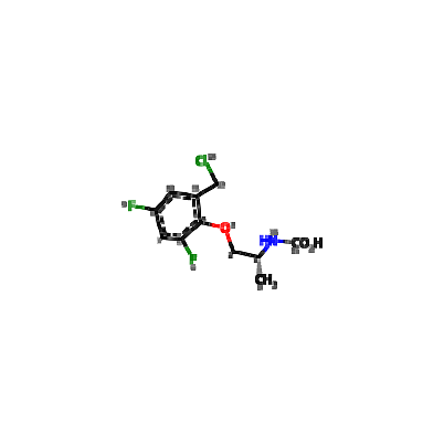 C[C@H](COc1c(F)cc(F)cc1CCl)NC(=O)O